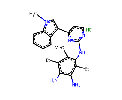 CCc1c(N)c(N)c(CC)c(OC)c1Nc1nccc(-c2cn(C)c3ccccc23)n1.Cl